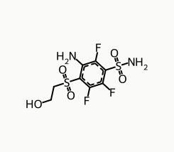 Nc1c(F)c(S(N)(=O)=O)c(F)c(F)c1S(=O)(=O)CCO